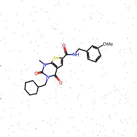 COc1cccc(CNC(=O)c2cc3c(=O)n(CC4CCCCC4)c(=O)n(C)c3s2)c1